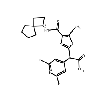 CC(=O)N(c1cc(F)nc(F)c1)c1nc(C(=O)N[C@H]2CCC23CCCC3)c(C)s1